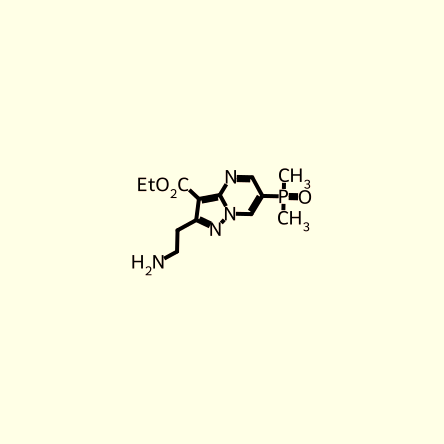 CCOC(=O)c1c(CCN)nn2cc(P(C)(C)=O)cnc12